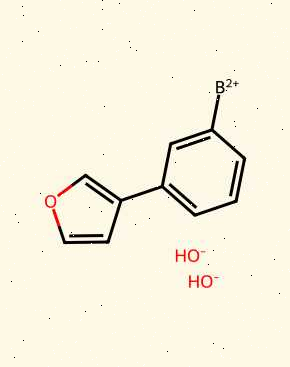 [B+2]c1cccc(-c2ccoc2)c1.[OH-].[OH-]